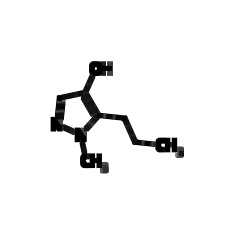 CCCc1c(O)cnn1C